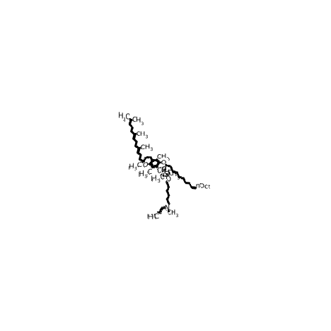 C#CCN(C)CCCCCCO[Si](C)(C)OC(CCCCCCC/C=C\CCCCCCCC)Oc1c(C)c(C)c2c(c1C)CCC(C)(CC/C=C(\C)CC/C=C(\C)CCC=C(C)C)O2